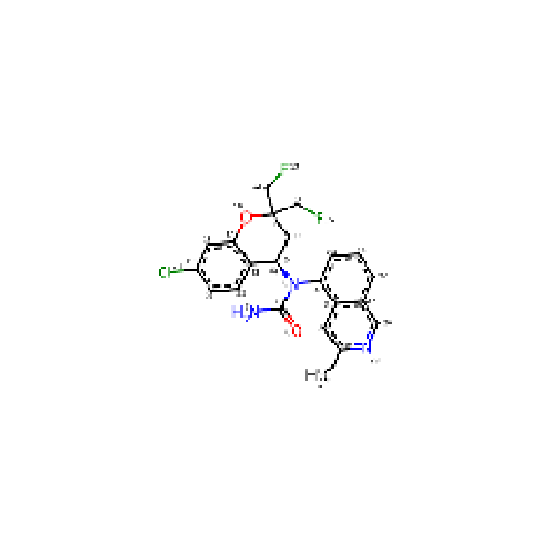 Cc1cc2c(N(C(N)=O)[C@@H]3CC(CF)(CF)Oc4cc(Cl)ccc43)cccc2cn1